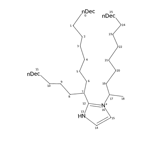 CCCCCCCCCCCCCCCCC(CCCCCCCCCCCCC)c1[nH]cc[n+]1C(C)CCCCCCCCCCCCCCCC